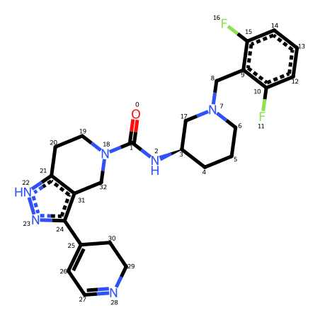 O=C(N[C@@H]1CCCN(Cc2c(F)cccc2F)C1)N1CCc2[nH]nc(C3=CC=NCC3)c2C1